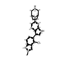 Cn1cc2c(Cl)c(-c3c[nH]c4nc(N5C6CCC5CNC6)cnc34)ccc2n1